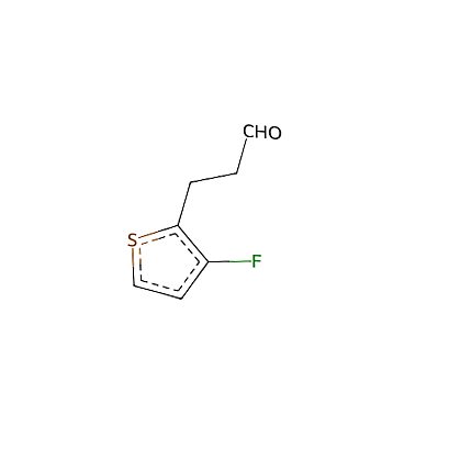 O=CCCc1sccc1F